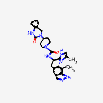 Cc1c[nH]c(C(Cc2cc(C)c3[nH]ncc3c2)NC(=O)N2CCC(N3Cc4ccccc4NC3=O)CC2)n1